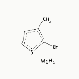 Cc1ccsc1Br.[MgH2]